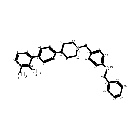 Cc1cccc(-c2ccc(C3CCN(Cc4ccc(OCc5ccccc5)cc4)CC3)cc2)c1C